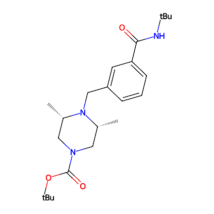 C[C@@H]1CN(C(=O)OC(C)(C)C)C[C@H](C)N1Cc1cccc(C(=O)NC(C)(C)C)c1